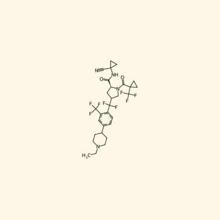 CCN1CCC(c2ccc(C(F)(F)C3C[C@@H](C(=O)NC4(C#N)CC4)N(C(=O)C4(C(F)(F)F)CC4)C3)c(C(F)(F)F)c2)CC1